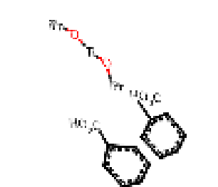 CC(C)[O][Ti][O]C(C)C.O=C(O)c1ccccc1.O=C(O)c1ccccc1